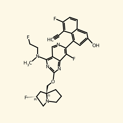 C#Cc1c(F)ccc2cc(O)cc(-c3ncc4c(N(C)CCF)nc(OC[C@@]56CCCN5C[C@H](F)C6)nc4c3F)c12